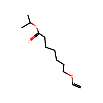 C=COCCCCCCC(=O)OC(C)C